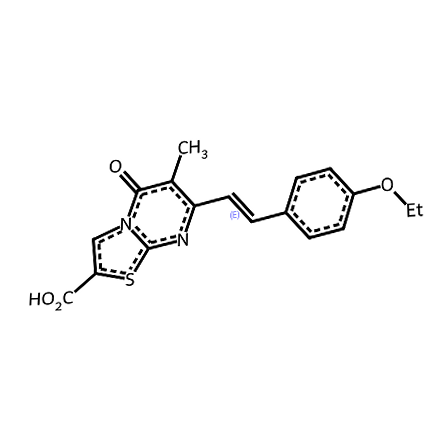 CCOc1ccc(/C=C/c2nc3sc(C(=O)O)cn3c(=O)c2C)cc1